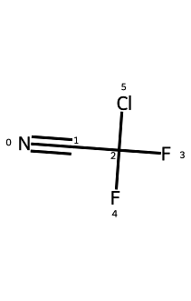 N#CC(F)(F)Cl